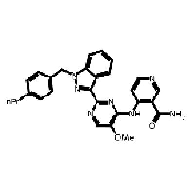 CCCc1ccc(Cn2nc(-c3ncc(OC)c(Nc4ccncc4C(N)=O)n3)c3ccccc32)cc1